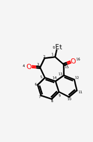 CCC1CC(=O)c2cccc3cccc(c23)C1=O